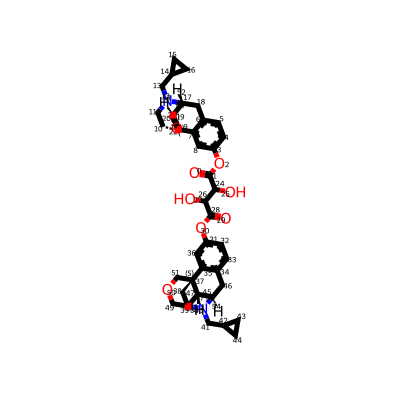 O=C(Oc1ccc2c(c1)[C@]13CCN(CC4CC4)[C@H](C2)[C@@H]1CCOC3)C(O)C(O)C(=O)Oc1ccc2c(c1)[C@]13CCN(CC4CC4)[C@H](C2)[C@@H]1CCOC3